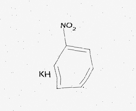 O=[N+]([O-])c1cc[c]cc1.[KH]